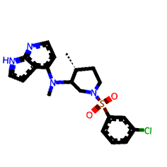 C[C@@H]1CCN(S(=O)(=O)c2cccc(Cl)c2)CC1N(C)c1ccnc2[nH]ccc12